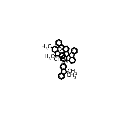 CC1C=CC2=C(C1)C(C)(C)c1cc(N(c3ccc4c(c3)C(C)(C)c3ccccc3-4)C3C=CC=C4c5ccccc5C5(c6ccccc6-c6c5ccc5c6oc6ccccc65)C43)ccc12